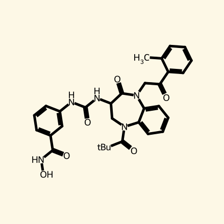 Cc1ccccc1C(=O)CN1C(=O)C(NC(=O)Nc2cccc(C(=O)NO)c2)CN(C(=O)C(C)(C)C)c2ccccc21